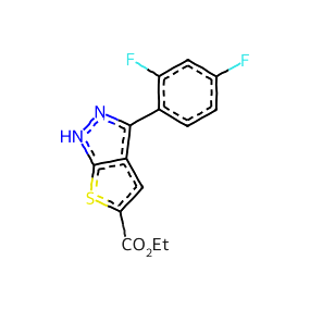 CCOC(=O)c1cc2c(-c3ccc(F)cc3F)n[nH]c2s1